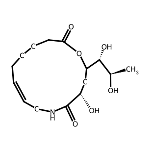 C[C@@H](O)[C@@H](O)C1C[C@H](O)C(=O)NC/C=C\CCCCC(=O)O1